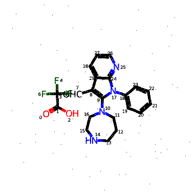 O=C(O)C(F)(F)F.O=Cc1c(N2CCCNCC2)n(-c2ccccc2)c2ncccc12